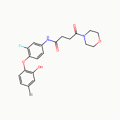 CCc1ccc(Oc2ccc(NC(=O)CCC(=O)N3CCOCC3)cc2F)c(O)c1